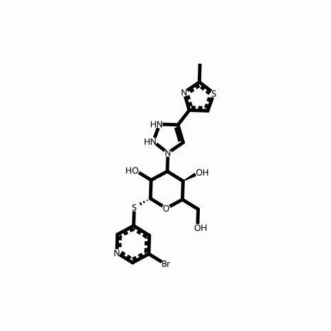 Cc1nc(C2=CN(C3C(O)[C@@H](Sc4cncc(Br)c4)OC(CO)[C@@H]3O)NN2)cs1